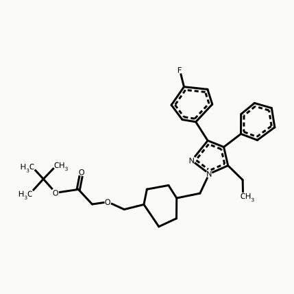 CCc1c(-c2ccccc2)c(-c2ccc(F)cc2)nn1CC1CCC(COCC(=O)OC(C)(C)C)CC1